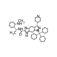 CNc1ccccc1C(C)NC(=O)c1nc2cc3c(-c4ccncc4)nn(C(c4ccccc4)(c4ccccc4)c4ccccc4)c3cc2[nH]1